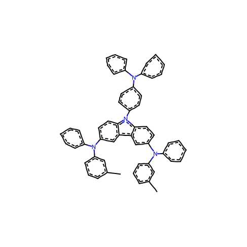 Cc1cccc(N(c2ccccc2)c2ccc3c(c2)c2cc(N(c4ccccc4)c4cccc(C)c4)ccc2n3-c2ccc(N(c3ccccc3)c3ccccc3)cc2)c1